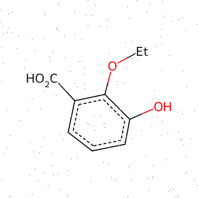 CCOc1c(O)cccc1C(=O)O